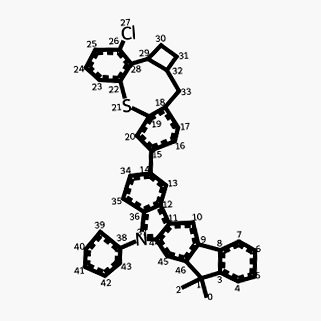 CC1(C)c2ccccc2-c2cc3c4cc(-c5ccc6c(c5)Sc5cccc(Cl)c5C5CCC5C6)ccc4n(-c4ccccc4)c3cc21